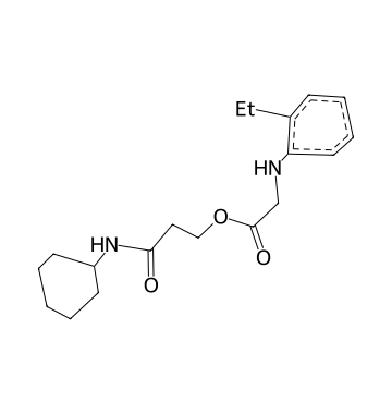 [CH2]Cc1ccccc1NCC(=O)OCCC(=O)NC1CCCCC1